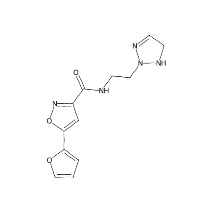 O=C(NCCN1N=CCN1)c1cc(-c2ccco2)on1